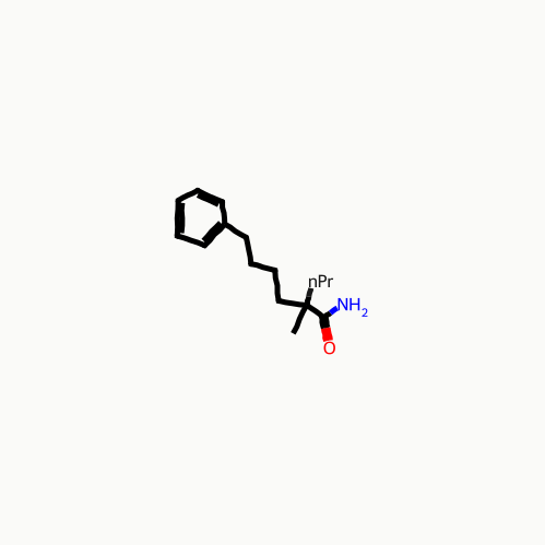 CCCC(C)(CCCCc1ccccc1)C(N)=O